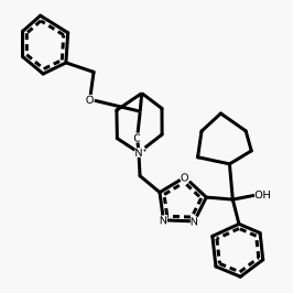 OC(c1ccccc1)(c1nnc(C[N+]23CCC(CC2)C(OCc2ccccc2)C3)o1)C1CCCCC1